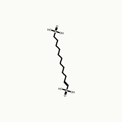 O=P(O)(O)C=CCCCCCCCCCCP(=O)(O)O